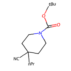 CCCC1(C#N)CCN(C(=O)OC(C)(C)C)CC1